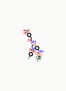 CCS(=O)(=O)c1ccc(CC(=O)NC[C@H]2CN(S(=O)(=O)c3ccc(F)cc3)c3cc(NC(=O)OC(C)(C)C(F)(F)F)ccc3O2)cc1